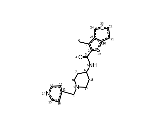 Cc1c(C(=O)NC2CCN(Cc3ccncc3)CC2)sc2ccccc12